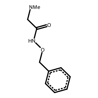 CNCC(=O)NOCc1ccccc1